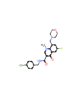 Cn1cc(C(=O)NCc2ccc(Cl)cc2)c(=O)c2cc(F)cc(CN3CCOCC3)c21